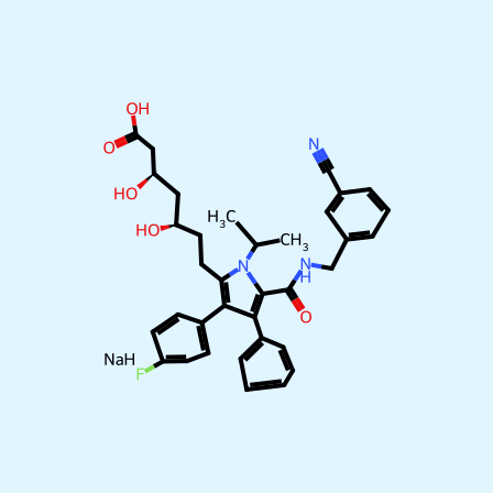 CC(C)n1c(CC[C@@H](O)C[C@@H](O)CC(=O)O)c(-c2ccc(F)cc2)c(-c2ccccc2)c1C(=O)NCc1cccc(C#N)c1.[NaH]